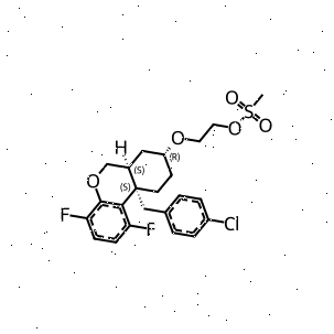 CS(=O)(=O)OCCO[C@@H]1CC[C@@]2(Cc3ccc(Cl)cc3)c3c(F)ccc(F)c3OC[C@H]2C1